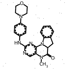 CN1C(=O)C2Cc3ccccc3N2c2nc(Nc3ccc(N4CCOCC4)cc3)ncc21